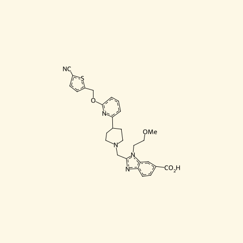 COCCn1c(CN2CCC(c3cccc(OCc4ccc(C#N)s4)n3)CC2)nc2ccc(C(=O)O)cc21